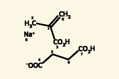 C=C(C)C(=O)O.O=C([O-])CCC(=O)O.[Na+]